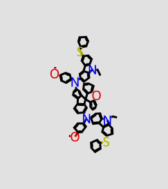 CCn1c2ccc(Sc3ccccc3)cc2c2cc(N(c3ccc(OC)cc3)c3ccc4c(c3)C3(c5ccccc5Oc5ccccc53)c3cc(N(c5ccc(OC)cc5)c5ccc6c(c5)c5cc(Sc7ccccc7)ccc5n6CC)ccc3-4)ccc21